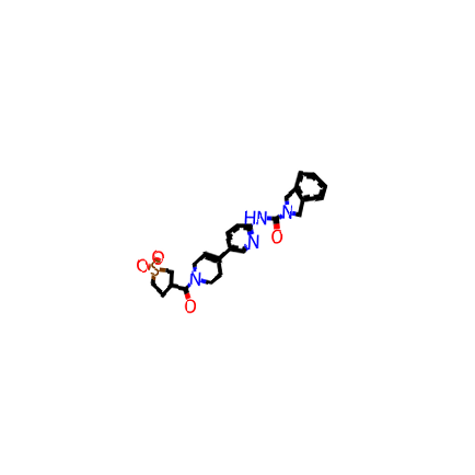 O=C(Nc1ccc(C2=CCN(C(=O)C3CCS(=O)(=O)C3)CC2)cn1)N1Cc2ccccc2C1